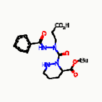 CC(C)(C)OC(=O)C1CCCNN1C(=O)N(CCC(=O)O)NC(=O)c1ccccc1